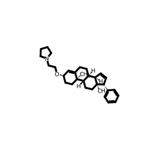 C[C@]12CC[C@H]3[C@@H](CCC4=C[C@@H](OCCN5CCCC5)CC[C@@]43C)[C@H]1C=C[C@@H]2c1ccccc1